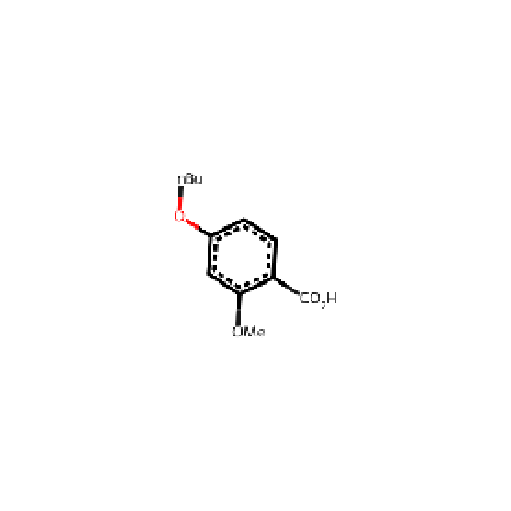 CCCCOc1ccc(C(=O)O)c(OC)c1